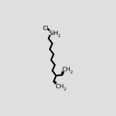 C=CC(C=C)CCCCCCC[SiH2]Cl